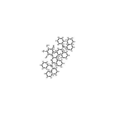 Fc1c(F)c(F)c2c3cc(N(c4ccccc4)c4cccc5ccccc45)c4ccccc4c3c3c4ccccc4c(N(c4ccccc4)c4cccc5ccccc45)cc3c2c1F